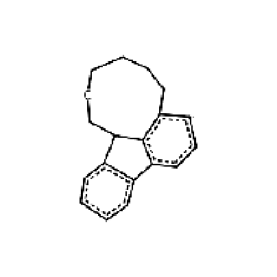 [c]1ccc2c3c1CCCCCCC3c1ccccc1-2